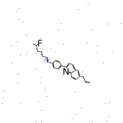 C=CCc1ccc2nc(-c3ccc(/C=C/CCCC(C)F)cc3)ccc2c1